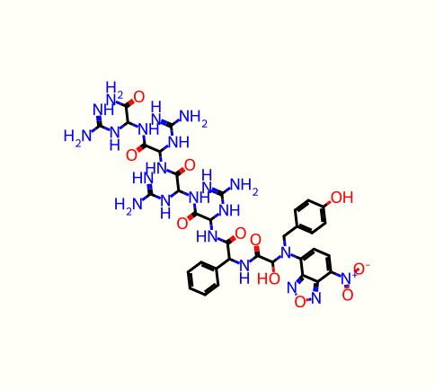 N=C(N)NC(NC(=O)C(NC(=N)N)NC(=O)C(NC(=N)N)NC(=O)C(NC(=N)N)NC(=O)C(NC(=O)C(O)N(Cc1ccc(O)cc1)c1ccc([N+](=O)[O-])c2nonc12)c1ccccc1)C(N)=O